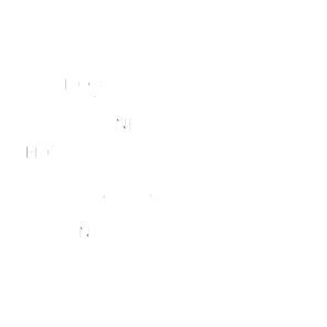 C[C@H](NC(=O)O)[C@@H](N)c1ccc(F)cc1